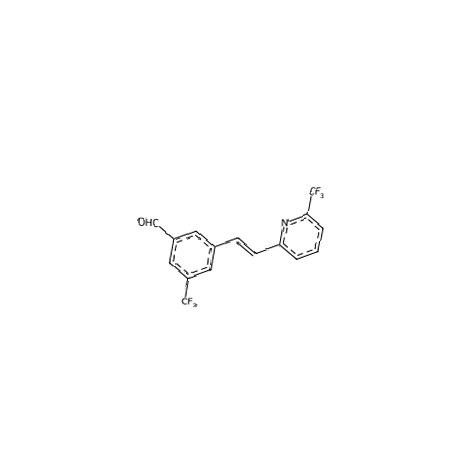 O=Cc1cc(C=Cc2cccc(C(F)(F)F)n2)cc(C(F)(F)F)c1